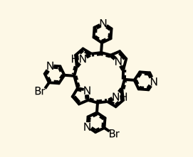 Brc1cncc(-c2c3nc(c(-c4cncc(Br)c4)c4ccc([nH]4)c(-c4ccncc4)c4nc(c(-c5ccncc5)c5ccc2[nH]5)C=C4)C=C3)c1